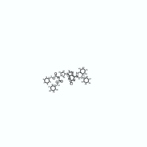 O=C(OCc1ccccc1)N(C(=O)OCc1ccccc1)[C@@H]1C=C[C@H](n2cnc3c(NCC(c4ccccc4)c4ccccc4)nc(Cl)nc32)C1